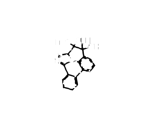 CC1(C)c2cccc3c2N2C(=NSC2C1(C)C)C1=CCCC=C13